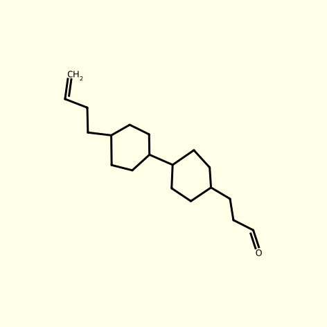 C=CCCC1CCC(C2CCC(CCC=O)CC2)CC1